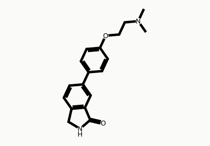 CN(C)CCOc1ccc(-c2ccc3c(c2)C(=O)NC3)cc1